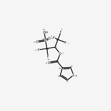 O=C(OC(C(F)(F)F)C(F)(F)S(=O)(=O)O)c1ccsc1